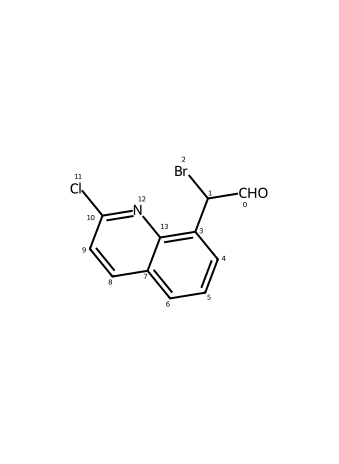 O=CC(Br)c1cccc2ccc(Cl)nc12